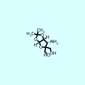 CC1(C)O[C@H]2OC(CO)(CO)[C@@H](N)[C@H]2O1